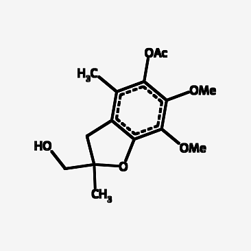 COc1c(OC(C)=O)c(C)c2c(c1OC)OC(C)(CO)C2